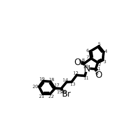 O=C1c2ccccc2C(=O)N1CCCCC(Br)c1ccccc1